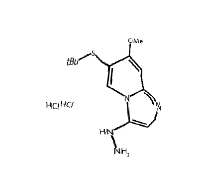 COc1cc2ncc(NN)n2cc1SC(C)(C)C.Cl.Cl